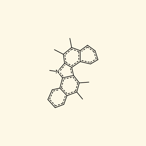 Cc1c(C)c2c(c3ccccc13)c1c(C)c(C)c3ccccc3c1n2C